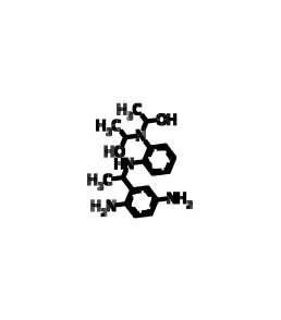 CC(Nc1ccccc1N(C(C)O)C(C)O)c1cc(N)ccc1N